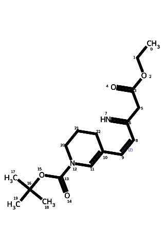 CCOC(=O)CC(=N)/C=C\C1=CN(C(=O)OC(C)(C)C)CCC1